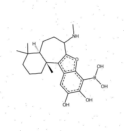 CNC1CC[C@@H]2C(C)(C)CCC[C@@]2(C)c2c1oc1c(B(O)O)c(O)c(O)cc21